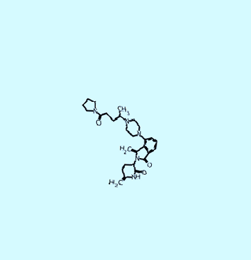 C=C1CCC(N2C(=C)c3c(cccc3N3CCN(C(C)CCC(=O)N4CCCC4)CC3)C2=O)C(=O)N1